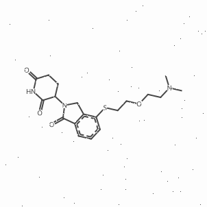 CN(C)CCOCCSc1cccc2c1CN(C1CCC(=O)NC1=O)C2=O